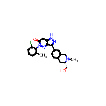 Cc1cccc(F)c1-n1nc2c(-c3ccc4c(c3)CN(C)[C@H](CO)C4)n[nH]c2cc1=O